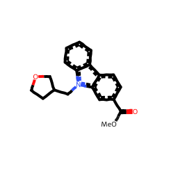 COC(=O)c1ccc2c3ccccc3n(CC3CCOC3)c2c1